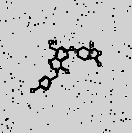 O=C1OC[C@@H]2C[C@@H](Oc3cc(CO)c4ncn(Cc5ccc(Cl)cc5)c(=O)c4c3)CCN12